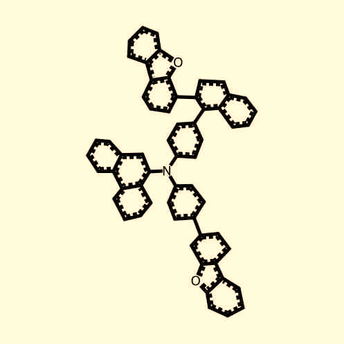 c1ccc2c(-c3ccc(N(c4ccc(-c5ccc6c(c5)oc5ccccc56)cc4)c4cc5ccccc5c5ccccc45)cc3)c(-c3cccc4c3oc3ccccc34)ccc2c1